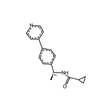 C[C@H](NC(=O)C1CC1)c1ccc(-c2ccncc2)cc1